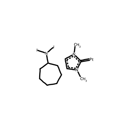 Cn1ccn(C)[c]1=[Pt].IN(I)C1CCCCCC1